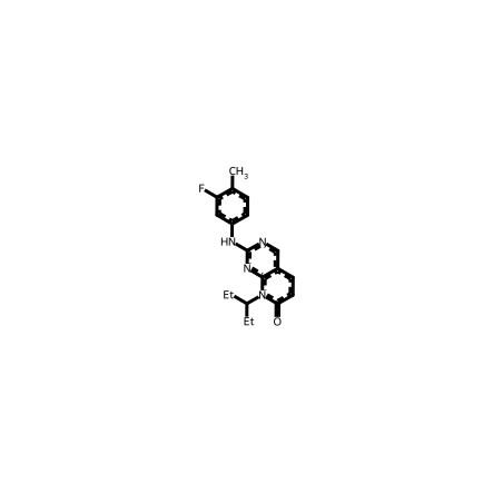 CCC(CC)n1c(=O)ccc2cnc(Nc3ccc(C)c(F)c3)nc21